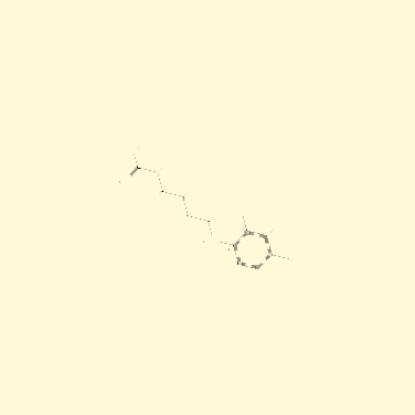 Cc1ccc(OCCCCCC(=O)O)c(Cl)c1